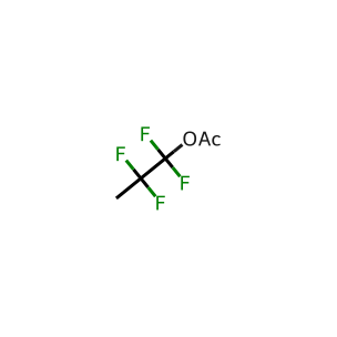 CC(=O)OC(F)(F)C(C)(F)F